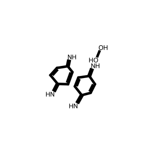 N=C1C=CC(=N)C=C1.N=C1C=CC(=N)C=C1.OO